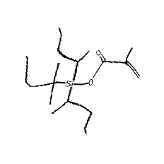 C=C(C)C(=O)O[Si](C(C)CC)(C(C)CC)C(C)(C)CC